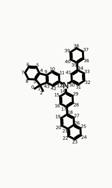 CC1(C)C2=C(C=CCC2)c2ccc(N(c3ccc(-c4ccc5ccccc5c4)cc3)c3cccc(C4=CCCC=C4)c3)cc21